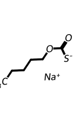 CCCCCOC(=O)[S-].[Na+]